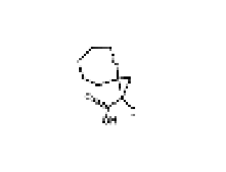 CC1(C(=O)O)CC12CCCCCC2